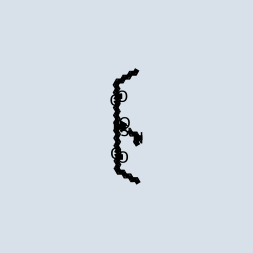 CCCCCC/C=C\CCC(=O)OCCCCCCN(CCCCCCOC(=O)CC/C=C\CCCCCC)C(=O)SCCCN(C)CC